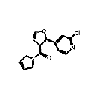 O=C(C1N=COC1c1ccnc(Cl)c1)N1CC=CC1